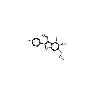 COCc1cc2oc(-c3ccc(F)cc3)c(C=O)c2c(F)c1O